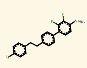 CCCCCCCc1ccc(-c2ccc(CCc3ccc(CC)cc3)cc2)c(F)c1F